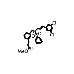 COC(=O)CCc1cccc(CN(C/C=C/c2cc(Cl)cc(Cl)c2)S(=O)(=O)c2ccccc2)c1